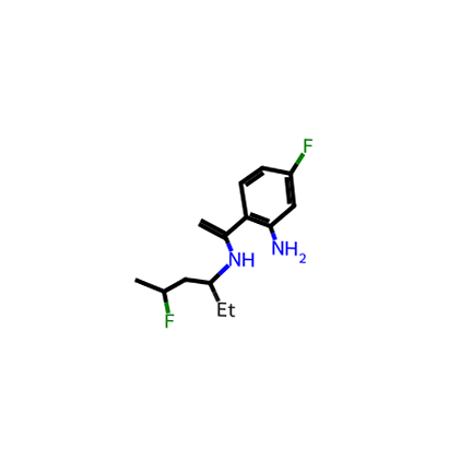 C=C(NC(CC)CC(C)F)c1ccc(F)cc1N